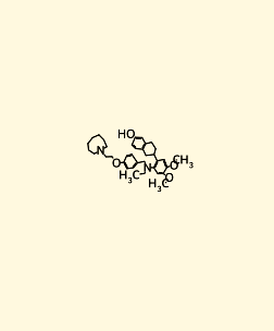 CCN(Cc1ccc(OCCN2CCCCCCC2)cc1)c1cc(OC)c(OC)cc1C1CCc2cc(O)ccc2C1